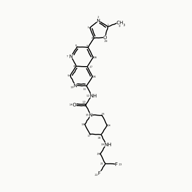 Cc1ncc(-c2cnc3cnc(NC(=O)N4CCC(NCC(F)F)CC4)cc3c2)o1